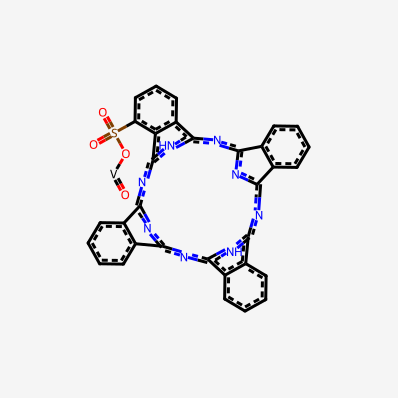 [O]=[V][O]S(=O)(=O)c1cccc2c3nc4nc(nc5[nH]c(nc6nc(nc([nH]3)c12)-c1ccccc1-6)c1ccccc51)-c1ccccc1-4